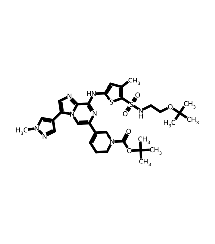 Cc1cc(Nc2nc(C3=CCCN(C(=O)OC(C)(C)C)C3)cn3c(-c4cnn(C)c4)cnc23)sc1S(=O)(=O)NCCOC(C)(C)C